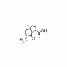 N[C@H]1CC[C@H]2CC[C@@H](C(=O)O)N2C1=O